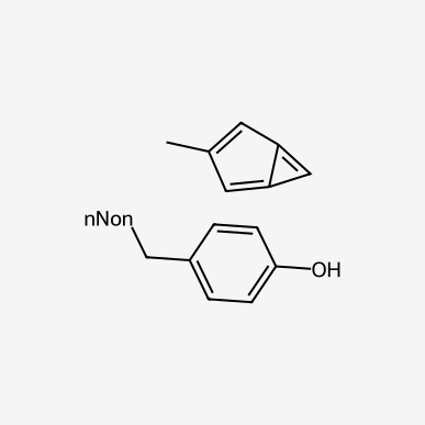 CCCCCCCCCCc1ccc(O)cc1.Cc1cc2cc-2c1